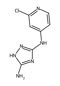 Nc1nc(Nc2ccnc(Cl)c2)n[nH]1